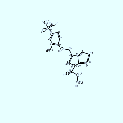 CC(C)c1cc(S(C)(=O)=O)ccc1OCc1nn(C(=O)OC(C)(C)C)c2ncccc12